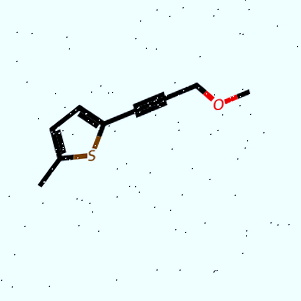 COCC#Cc1ccc(C)s1